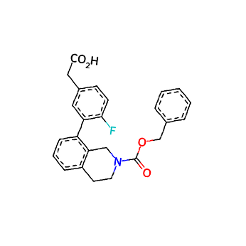 O=C(O)Cc1ccc(F)c(-c2cccc3c2CN(C(=O)OCc2ccccc2)CC3)c1